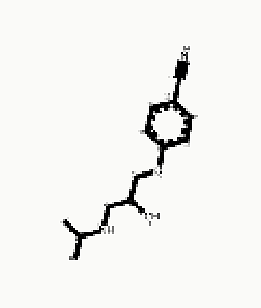 CC(C)NCC(O)COc1ccc(C#N)cc1